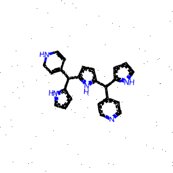 C1=CC(C(c2ccc[nH]2)c2ccc(C(c3ccncc3)c3ccc[nH]3)[nH]2)=CCN1